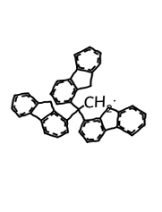 [CH2]C(c1cccc2c1Cc1ccccc1-2)(c1cccc2c1Cc1ccccc1-2)c1cccc2c1Cc1ccccc1-2